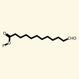 O=CCCCCCCCCCCC(=O)OF